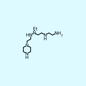 CCN(CCNCCN)NCCN1CCNCC1